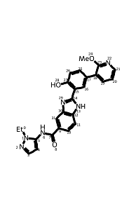 CCn1nccc1NC(=O)c1ccc2[nH]c(-c3cc(-c4cccnc4OC)ccc3O)nc2c1